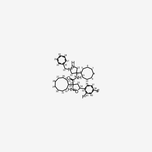 O=C(NC1(C2CCCCCCC2)CNN(Cc2ccccc2)C1)C1(C2CCCCCCCC2)CC(c2ccc(F)cc2F)ON1